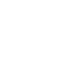 N=Cc1cccc(-c2ccc(Cl)cc2)c1